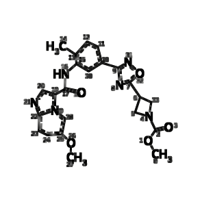 COC(=O)N1CC(c2nc(-c3ccc(C)c(NC(=O)c4cnc5ccc(OC)cn45)c3)no2)C1